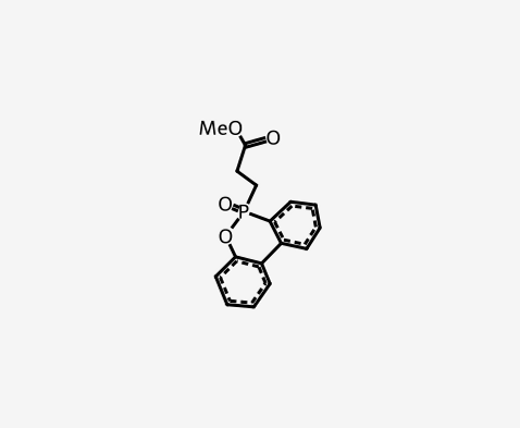 COC(=O)CCP1(=O)Oc2ccccc2-c2ccccc21